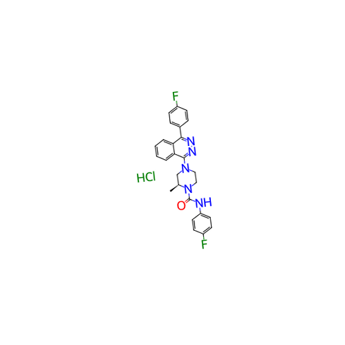 C[C@H]1CN(c2nnc(-c3ccc(F)cc3)c3ccccc23)CCN1C(=O)Nc1ccc(F)cc1.Cl